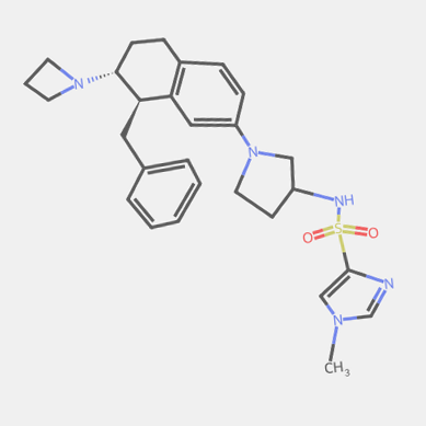 Cn1cnc(S(=O)(=O)NC2CCN(c3ccc4c(c3)[C@@H](Cc3ccccc3)[C@H](N3CCC3)CC4)C2)c1